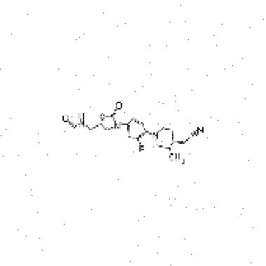 CC1CN(c2ccc(N3CC(CNC=O)OC3=O)cc2F)CCC1=CC#N